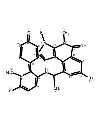 CCn1ncc2c3c(C(C)NC4=CC=C(Cl)N(C)C4=C4C=CC(=O)N=C4)cc(C)cc3c(=O)n(C)c21